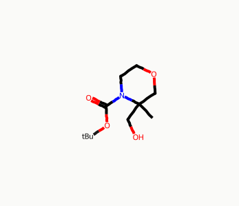 CC(C)(C)OC(=O)N1CCOCC1(C)CO